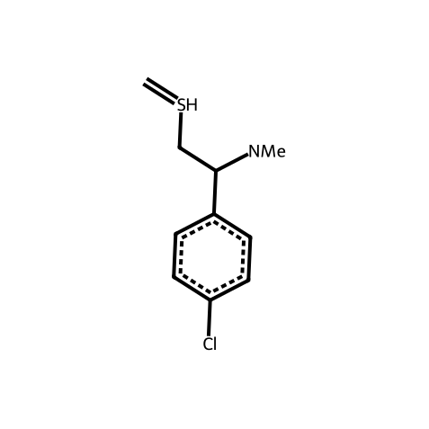 C=[SH]CC(NC)c1ccc(Cl)cc1